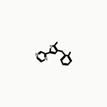 Cc1ccccc1Cc1cc(-c2cnccn2)sc1C